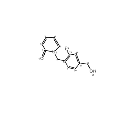 O=c1ccccn1Cc1ccc(CO)cc1F